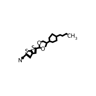 CCCCC1CCC(C2COC(c3cc4cc(C#N)sc4s3)OC2)CC1